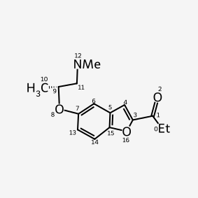 CCC(=O)c1cc2cc(O[C@H](C)CNC)ccc2o1